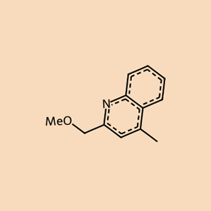 COCc1cc(C)c2ccccc2n1